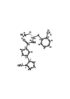 CCCn1nccc1-c1csc(C(=O)N[C@H](CN)Cc2ccccc2C(F)(F)F)c1